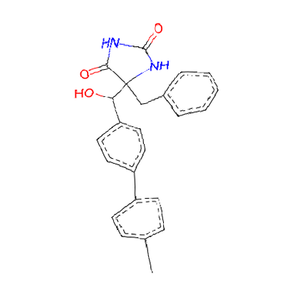 Cc1ccc(-c2ccc(C(O)C3(Cc4ccccc4)NC(=O)NC3=O)cc2)cc1